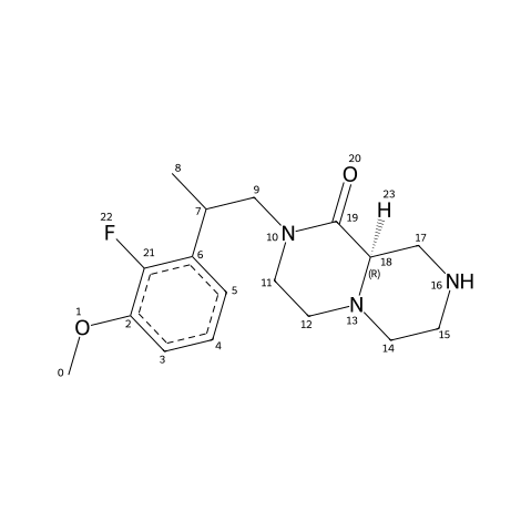 COc1cccc(C(C)CN2CCN3CCNC[C@@H]3C2=O)c1F